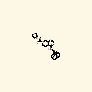 O=C(O[C@@H]1CCOC1)N1CCc2c(ncnc2NCC23CC4CC(CC(C4)C2)C3)C1